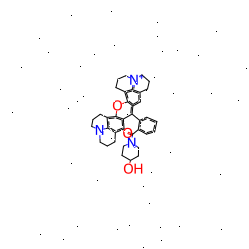 O=C(c1ccccc1C1=c2cc3c4c(c2Oc2c1cc1c5c2CCCN5CCC1)CCC[N+]=4CCC3)N1CCC(O)CC1